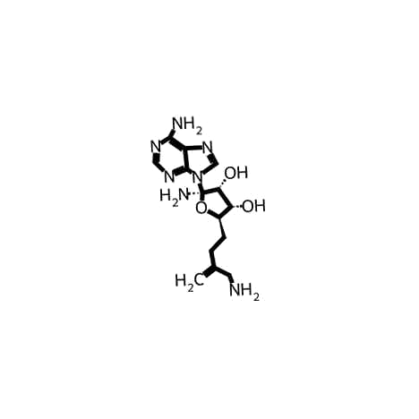 C=C(CN)CC[C@H]1O[C@@](N)(n2cnc3c(N)ncnc32)[C@H](O)[C@@H]1O